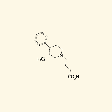 Cl.O=C(O)CCCN1CCC(c2ccccc2)CC1